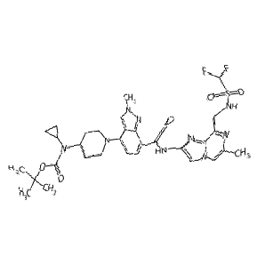 Cc1cn2cc(NC(=O)c3ccc(N4CCC(N(C(=O)OC(C)(C)C)C5CC5)CC4)c4cn(C)nc34)nc2c(CNS(=O)(=O)C(F)F)n1